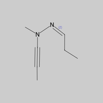 CC#CN(C)/N=C\CC